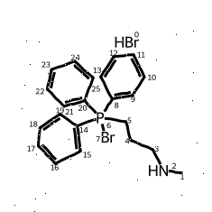 Br.CNCCCP(Br)(c1ccccc1)(c1ccccc1)c1ccccc1